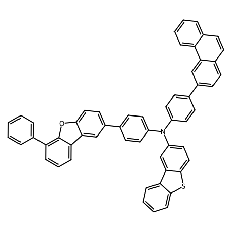 c1ccc(-c2cccc3c2oc2ccc(-c4ccc(N(c5ccc(-c6ccc7ccc8ccccc8c7c6)cc5)c5ccc6sc7ccccc7c6c5)cc4)cc23)cc1